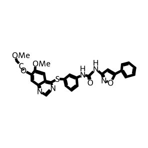 COCCOc1cc2ncnc(Sc3cccc(NC(=O)Nc4cc(-c5ccccc5)on4)c3)c2cc1OC